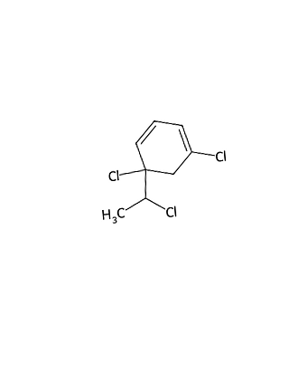 CC(Cl)C1(Cl)C=CC=C(Cl)C1